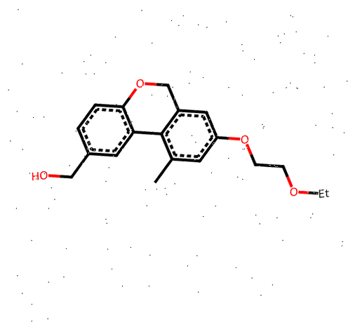 CCOCCOc1cc(C)c2c(c1)COc1ccc(CO)cc1-2